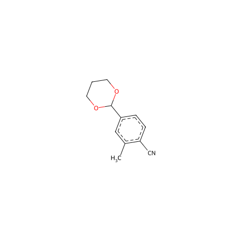 Cc1cc(C2OCCCO2)ccc1C#N